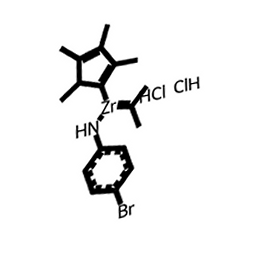 CC1=C(C)C(C)[C]([Zr]([NH]c2ccc(Br)cc2)=[C](C)C)=C1C.Cl.Cl